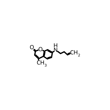 C=CCCNc1ccc2c(C)cc(=O)oc2c1